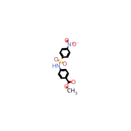 COC(=O)c1ccc(NS(=O)(=O)c2ccc([N+](=O)[O-])cc2)cc1